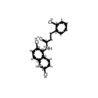 O=C(CCc1ccccc1Cl)Nc1c(Cl)ccc2nc(Cl)ccc12